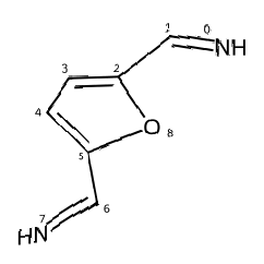 N=Cc1ccc(C=N)o1